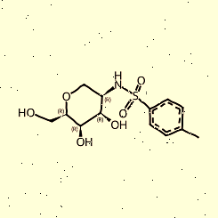 Cc1ccc(S(=O)(=O)N[C@@H]2CO[C@H](CO)[C@H](O)[C@@H]2O)cc1